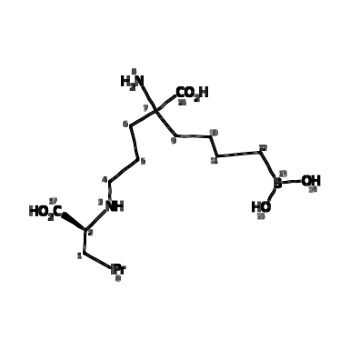 CC(C)C[C@H](NCCCC(N)(CCCCB(O)O)C(=O)O)C(=O)O